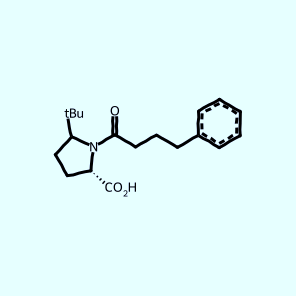 CC(C)(C)C1CC[C@@H](C(=O)O)N1C(=O)CCCc1ccccc1